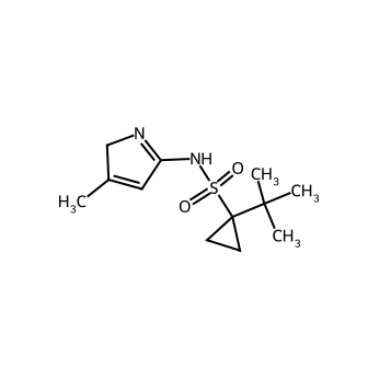 CC1=CC(NS(=O)(=O)C2(C(C)(C)C)CC2)=NC1